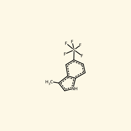 Cc1c[nH]c2ccc(S(F)(F)(F)(F)F)cc12